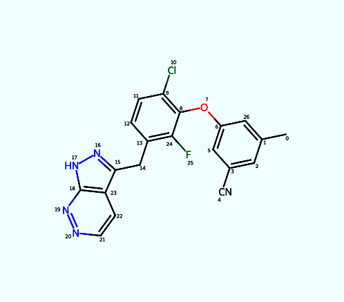 Cc1cc(C#N)cc(Oc2c(Cl)ccc(Cc3n[nH]c4nnccc34)c2F)c1